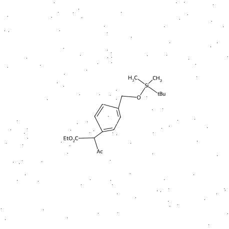 CCOC(=O)C(C(C)=O)c1ccc(CO[Si](C)(C)C(C)(C)C)cc1